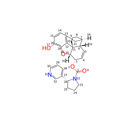 O=C(O[C@H]1C=C[C@H]2[C@@H]3CCC[C@@]24c2c(ccc(O)c2O[C@@H]14)C3)N1CCC[C@@H]1c1cccnc1